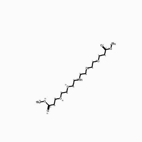 CC(C)(C)OC(=O)CCOCCOCCNCCOCCOCCC(=O)OC(C)(C)C